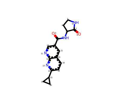 O=C(NC1CCNC1=O)c1cnc2nc(C3CC3)ccc2c1